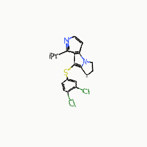 CC(C)c1nccc2c1c(Sc1ccc(Cl)c(Cl)c1)c1n2CC[C]1